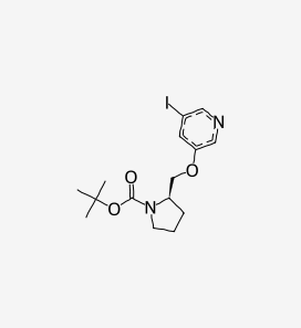 CC(C)(C)OC(=O)N1CCC[C@@H]1COc1cncc(I)c1